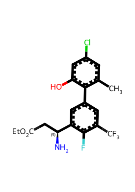 CCOC(=O)C[C@H](N)c1cc(-c2c(C)cc(Cl)cc2O)cc(C(F)(F)F)c1F